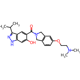 CC(C)c1n[nH]c2cc(O)c(C(=O)N3Cc4ccc(OCCN(C)C)cc4C3)cc12